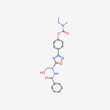 CCN(C)C(=O)Oc1ccc(-c2noc(C(CO)NC(=O)c3ccccc3)n2)cc1